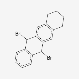 BrC1c2ccccc2C(Br)c2cc3c(cc21)CCCC3